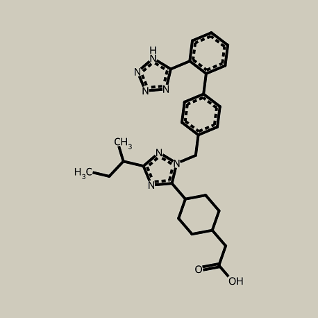 CCC(C)c1nc(C2CCC(CC(=O)O)CC2)n(Cc2ccc(-c3ccccc3-c3nnn[nH]3)cc2)n1